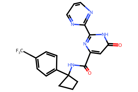 O=C(NC1(c2ccc(C(F)(F)F)cc2)CCC1)c1cc(=O)[nH]c(-c2ncccn2)n1